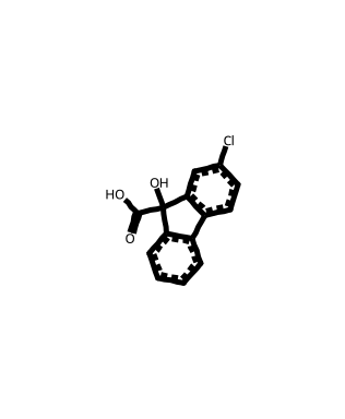 O=C(O)C1(O)c2ccccc2-c2ccc(Cl)cc21